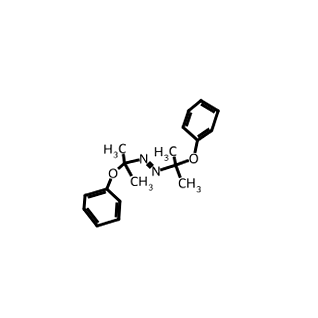 CC(C)(N=NC(C)(C)Oc1ccccc1)Oc1ccccc1